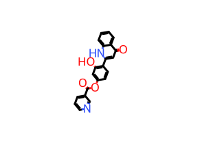 O=C(Oc1ccc(-c2cc(=O)c3ccccc3[nH]2)c(O)c1)c1cccnc1